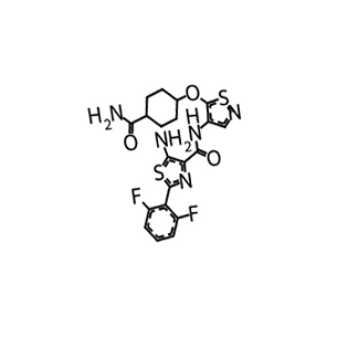 NC(=O)C1CCC(Oc2sncc2NC(=O)c2nc(-c3c(F)cccc3F)sc2N)CC1